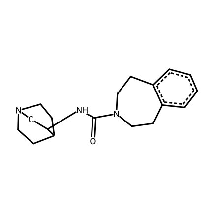 O=C(NC1CN2CCC1CC2)N1CCc2ccccc2CC1